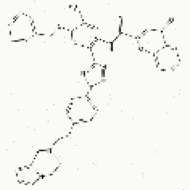 Cc1cc(NC(=O)c2cc(=O)c3ccccc3o2)c(-c2nnn(-c3ccc(CCN4CCn5cccc5C4)cc3)n2)cc1OCc1ccccc1